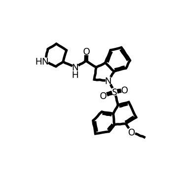 COc1ccc(S(=O)(=O)N2CC(C(=O)NC3CCCNC3)c3ccccc32)c2ccccc12